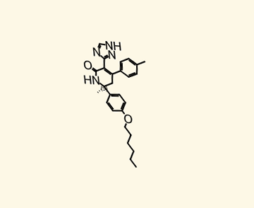 CCCCCCOc1ccc([C@]2(C)CC(c3ccc(C)cc3)=C(c3nc[nH]n3)C(=O)N2)cc1